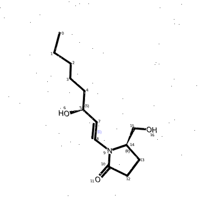 CCCCC[C@H](O)/C=C/N1C(=O)CC[C@@H]1CO